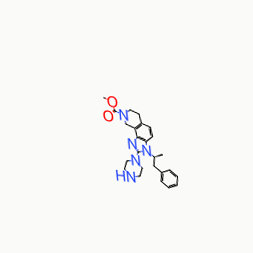 COC(=O)N1CCc2ccc3c(nc(N4CCNCC4)n3[C@@H](C)Cc3ccccc3)c2C1